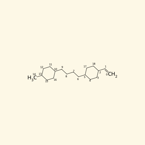 C=CC1CCC(CCCCC2CCC(C)CC2)CC1